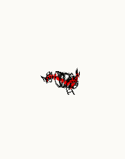 Cc1ncsc1-c1ccc(CNC(=O)[C@@H]2CCCN2C(=O)C(NC(=O)CCCOCCOc2ccc(-c3ccc(N4C(=S)N(c5ccc(C#N)c(C(F)(F)F)c5)C(=O)C4(C)C)cc3)cc2)C(C)(C)C)cc1